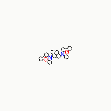 c1ccc(N(c2cc3ccc(N(c4ccccc4)c4cccc5c4oc4ccccc45)c4ccc5cccc2c5c34)c2cccc3c2oc2ccccc23)cc1